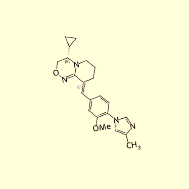 COc1cc(/C=C2\CCCN3C2=NOC[C@@H]3C2CC2)ccc1-n1cnc(C)c1